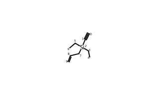 C#C[Si](CC)(CC)CC=C